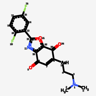 CN(C)CC[AsH]C1=CC(=O)c2nc(-c3cc(F)ccc3F)oc2C1=O